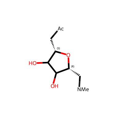 CNC[C@H]1O[C@@H](CC(C)=O)C(O)C1O